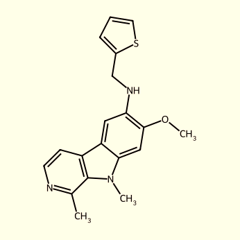 COc1cc2c(cc1NCc1cccs1)c1ccnc(C)c1n2C